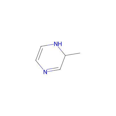 CC1C=NC=CN1